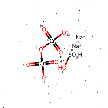 O=S(=O)(O)O.[Na+].[Na+].[O]=[Cr](=[O])([O-])[O][Cr](=[O])(=[O])[O-]